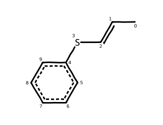 C/C=[C]/Sc1ccccc1